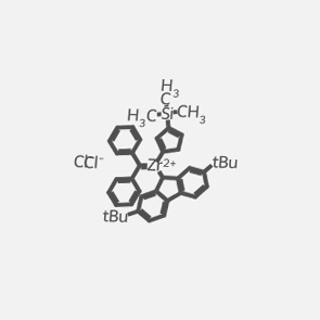 CC(C)(C)c1ccc2c(c1)[CH]([Zr+2]([C]1=CC([Si](C)(C)C)=CC1)=[C](c1ccccc1)c1ccccc1)c1cc(C(C)(C)C)ccc1-2.[Cl-].[Cl-]